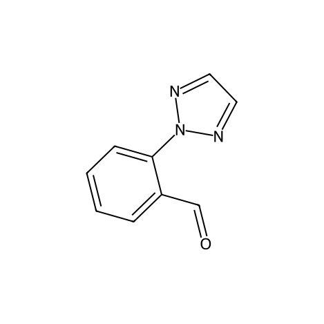 O=Cc1ccccc1-n1nccn1